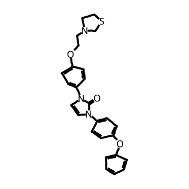 O=c1n(-c2ccc(OCCN3CCSC3)cc2)ccn1-c1ccc(Oc2ccccc2)cc1